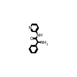 NC(C(=O)Nc1cccnc1)c1ccccc1